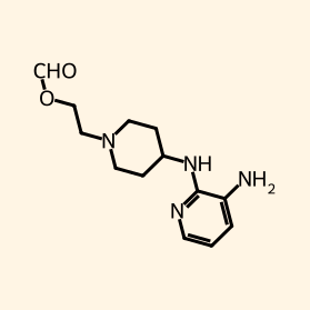 Nc1cccnc1NC1CCN(CCOC=O)CC1